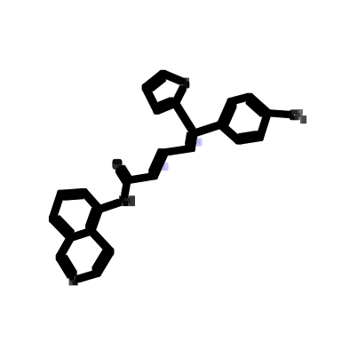 O=C(/C=C/C=C(/c1ccc(C(F)(F)F)cc1)c1cccs1)Nc1cccc2cnccc12